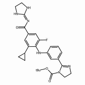 CC(C)(C)OC(=O)N1CCN=C1c1cccc(Nc2c(F)cc(C(=O)N=C3NCCN3)cc2C2CC2)c1